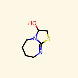 OC1CSC2=NCCCCN21